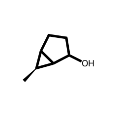 C[C@H]1C2CCC(O)C21